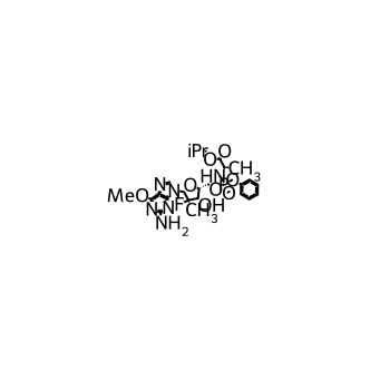 COc1nc(N)nc2c1ncn2C1O[C@H](COP(=O)(N[C@H](C)C(=O)OC(C)C)Oc2ccccc2)[C@@H](O)[C@@]1(C)F